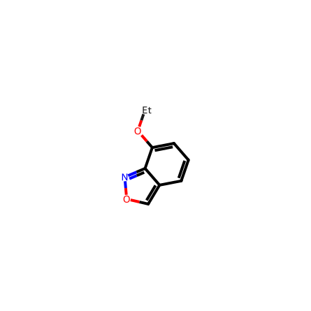 CCOc1cccc2conc12